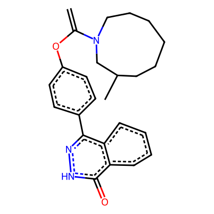 C=C(Oc1ccc(-c2n[nH]c(=O)c3ccccc23)cc1)N1CCCCCCC(C)C1